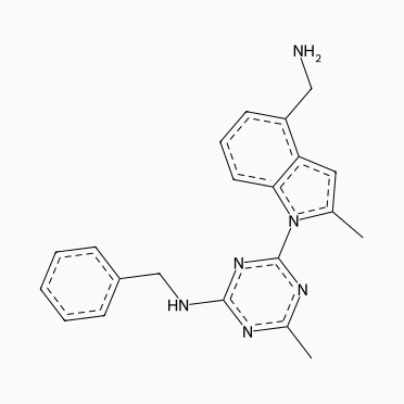 Cc1nc(NCc2ccccc2)nc(-n2c(C)cc3c(CN)cccc32)n1